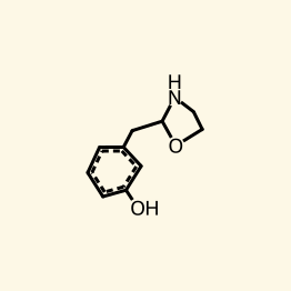 Oc1cccc(CC2NCCO2)c1